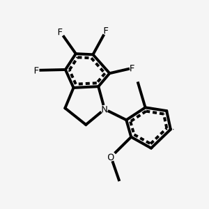 COc1c[c]cc(C)c1N1CCc2c(F)c(F)c(F)c(F)c21